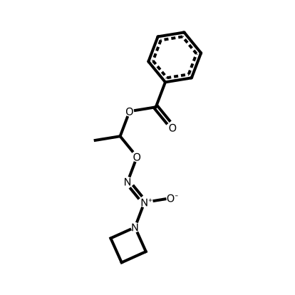 CC(ON=[N+]([O-])N1CCC1)OC(=O)c1ccccc1